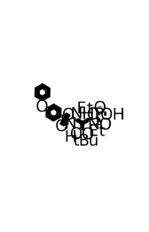 CCOP(=O)(O)C(=O)N(CC)CC(C(=O)OC(C)(C)C)C(N)NS(=O)(=O)c1ccc(Oc2ccccc2)cc1